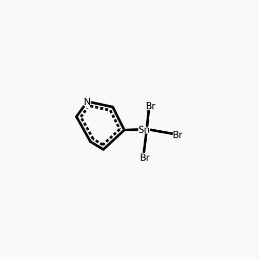 [Br][Sn]([Br])([Br])[c]1cccnc1